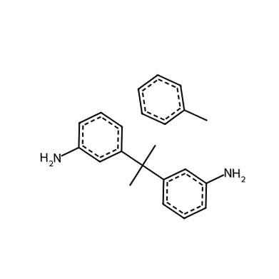 CC(C)(c1cccc(N)c1)c1cccc(N)c1.Cc1ccccc1